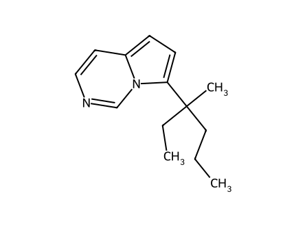 CCCC(C)(CC)c1ccc2ccncn12